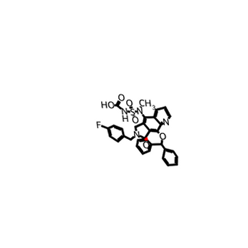 CN(c1c2c(c(OC(c3ccccc3)c3ccccc3)c3ncccc13)C(=O)N(Cc1ccc(F)cc1)C2)S(=O)(=O)NC(=O)O